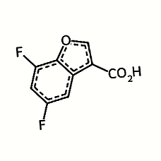 O=C(O)c1coc2c(F)cc(F)cc12